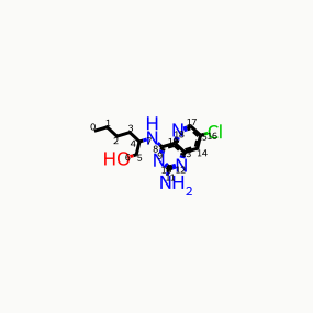 CCCCC(CO)Nc1nc(N)nc2cc(Cl)cnc12